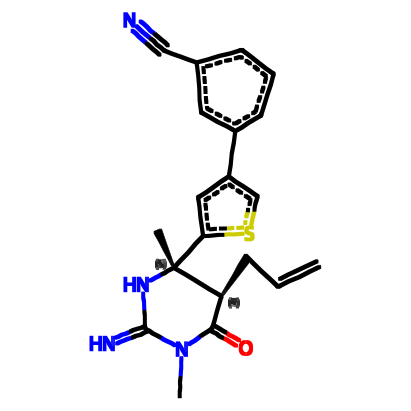 C=CC[C@H]1C(=O)N(C)C(=N)N[C@]1(C)c1cc(-c2cccc(C#N)c2)cs1